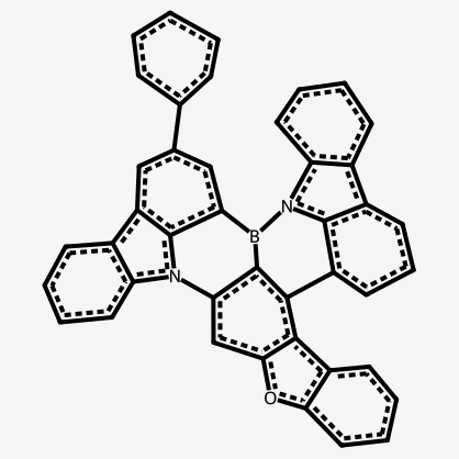 c1ccc(-c2cc3c4c(c2)c2ccccc2n4-c2cc4oc5ccccc5c4c4c2B3n2c3ccccc3c3cccc-4c32)cc1